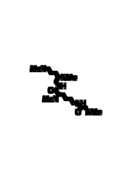 CNCCC[C@@H](CNC(=O)[C@H](CCCCNC(=O)CNC)NC)NC